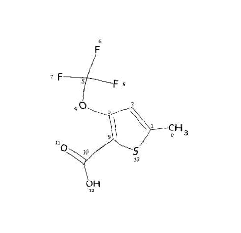 Cc1cc(OC(F)(F)F)c(C(=O)O)s1